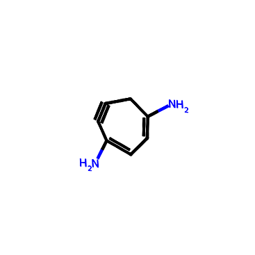 NC1=CC=C(N)CC#C1